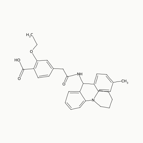 CCOc1cc(CC(=O)NC(c2ccc(C)cc2)c2ccccc2N2CCCCC2)ccc1C(=O)O